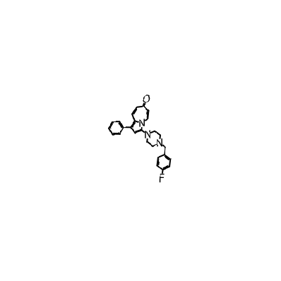 O=c1ccc2c(-c3ccccc3)cc(N3CCN(Cc4ccc(F)cc4)CC3)n2cc1